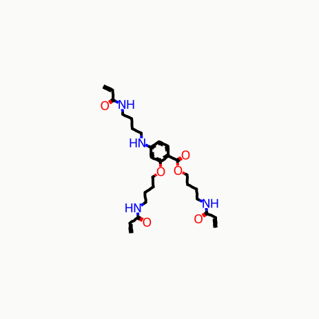 C=CC(=O)NCCCCNc1ccc(C(=O)OCCCCNC(=O)C=C)c(OCCCCNC(=O)C=C)c1